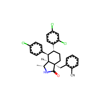 C[C@H]1NC(=O)[C@]2(Cc3ccccc3C#N)CC[C@@H](c3ccc(Cl)cc3Cl)[C@H](c3ccc(Cl)cc3)[C@H]12